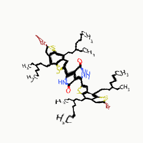 CCCCC(CC)CCc1c2cc(C3=C4C(=O)NC(c5cc6c(CCC(CC)CCCC)c7sc(Br)cc7c(CCC(CC)CCCC)c6s5)=C4C(=O)N3)sc2c(CCC(CC)CCCC)c2cc(Br)sc12